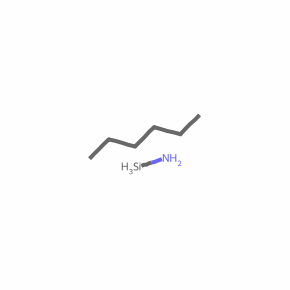 CCCCCC.N[SiH3]